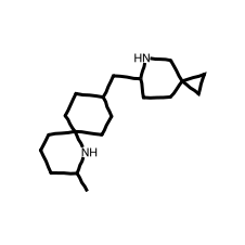 CC1CCCC2(CCC(CC3CCC4(CC4)CN3)CC2)N1